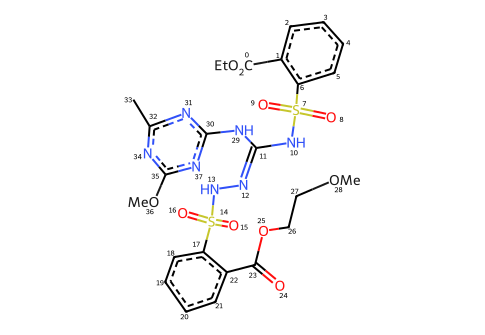 CCOC(=O)c1ccccc1S(=O)(=O)NC(=NNS(=O)(=O)c1ccccc1C(=O)OCCOC)Nc1nc(C)nc(OC)n1